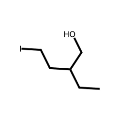 CCC(CO)CCI